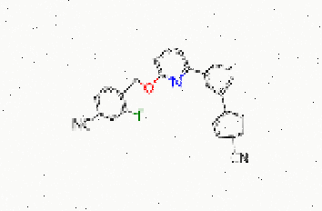 N#Cc1ccc(-c2cccc(-c3cccc(OCc4ccc(C#N)cc4F)n3)c2)cc1